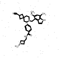 COc1cc(C)c2[nH]ccc2c1CN1CCC2(CC(C#N)C2)C[C@H]1c1ccc(C(=O)NCC2CN(C)C2)cc1